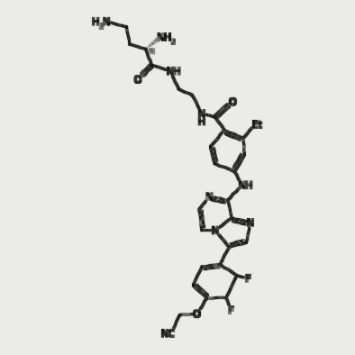 CCc1cc(Nc2nccn3c(C4=CC=C(OCC#N)C(F)C4F)cnc23)ccc1C(=O)NCCNC(=O)[C@@H](N)CCN